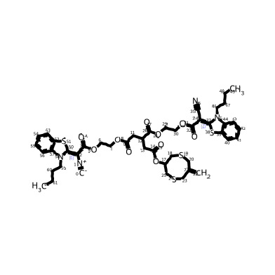 [C-]#[N+]/C(C(=O)OCCOC(=O)CC(CC(=O)OC1CSCC(=C)CSC1)C(=O)OCCOC(=O)/C(C#N)=C1\Sc2ccccc2N1CCCC)=C1/Sc2ccccc2N1CCCC